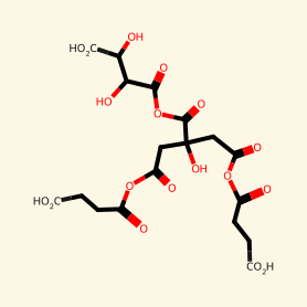 O=C(O)CCC(=O)OC(=O)CC(O)(CC(=O)OC(=O)CCC(=O)O)C(=O)OC(=O)C(O)C(O)C(=O)O